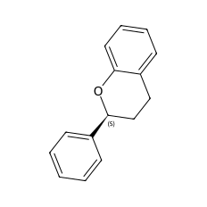 c1ccc([C@@H]2CCc3ccccc3O2)cc1